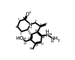 C=C(CN1CCCCC1=O)c1cc(CO)c(C)cc1NN